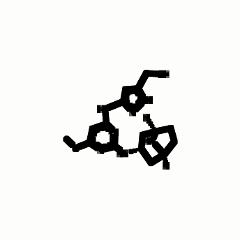 COc1cc(Nc2cc(CO)[nH]n2)nc(N[C@@H]2C[C@H]3CC[C@@H](C2)N3)n1